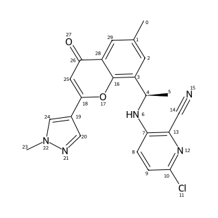 Cc1cc([C@@H](C)Nc2ccc(Cl)nc2C#N)c2oc(-c3cnn(C)c3)cc(=O)c2c1